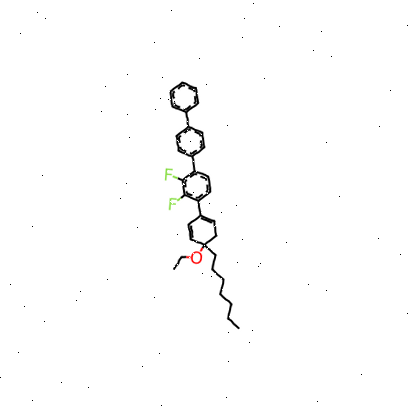 CCCCCCCC1(OCC)C=CC(c2ccc(-c3ccc(-c4ccccc4)cc3)c(F)c2F)=CC1